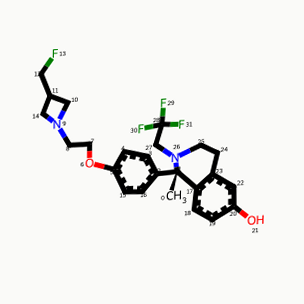 C[C@]1(c2ccc(OCCN3CC(CF)C3)cc2)c2ccc(O)cc2CCN1CC(F)(F)F